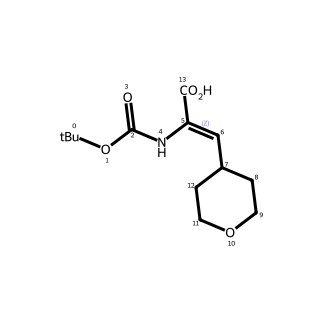 CC(C)(C)OC(=O)N/C(=C\C1CCOCC1)C(=O)O